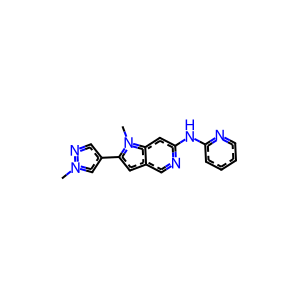 Cn1cc(-c2cc3cnc(Nc4ccccn4)cc3n2C)cn1